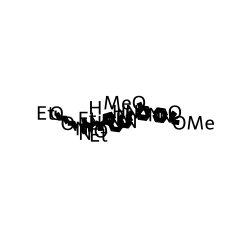 CCOCCOCCn1nc(CC)c(NC(=O)c2ccn3c2CCc2cnc(Nc4ccc(N5CCN(C(=O)COC)CC5)cc4OC)nc2-3)c1CC